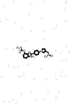 CCN(CC)Cc1ccn(-c2ccc(-c3nc4c(OC(N)=O)cccc4[nH]3)cc2)c1